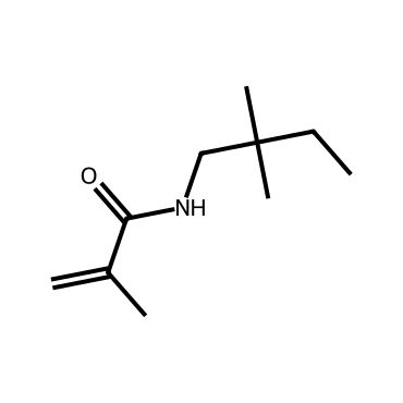 C=C(C)C(=O)NCC(C)(C)CC